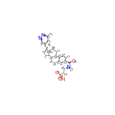 Cc1cc(C2=CCC3C4CCc5cc(C(=O)N(C)CCC(=O)O)ccc5C4CC[C@]23C)cnn1